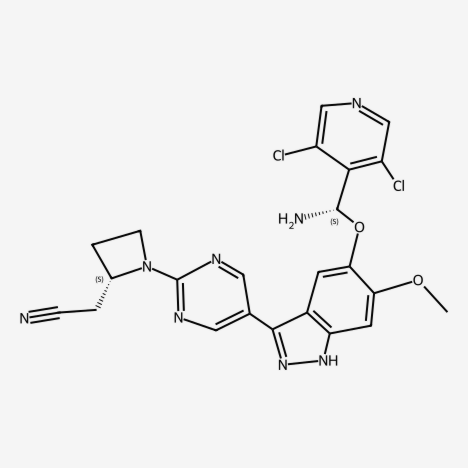 COc1cc2[nH]nc(-c3cnc(N4CC[C@H]4CC#N)nc3)c2cc1O[C@H](N)c1c(Cl)cncc1Cl